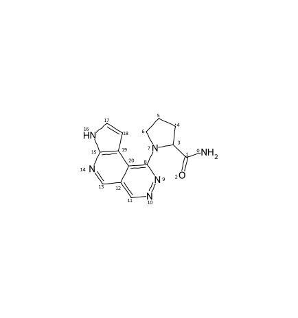 NC(=O)C1[CH]CCN1c1nncc2cnc3[nH]ccc3c12